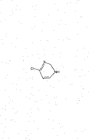 ClC1=NCNC=C1